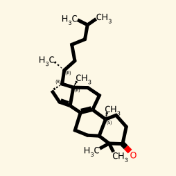 CC(C)CCC[C@@H](C)[C@H]1CC=C2C3=C(CC[C@@]21C)[C@@]1(C)CCC(=O)C(C)(C)C1CC3